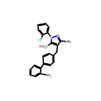 CCCCc1nn(-c2ccccc2Cl)c(C(=O)OCC)c1Cc1ccc(-c2ccccc2[N+](=O)[O-])cc1